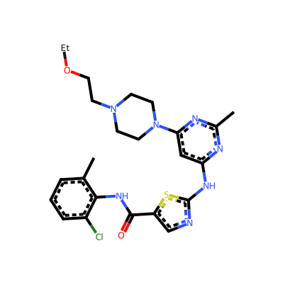 CCOCCN1CCN(c2cc(Nc3ncc(C(=O)Nc4c(C)cccc4Cl)s3)nc(C)n2)CC1